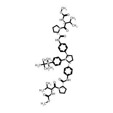 COC(=O)N[C@H](C(=O)N1CCC[C@H]1C(=O)Nc1ccc([C@H]2CC[C@H](c3ccc(NC(=O)[C@@H]4CCCN4C(=O)[C@@H](NC(=O)OC)C(C)C)cc3)N2c2ccc([Si](C)(C)C(C)(C)C)cc2)cc1)C(C)C